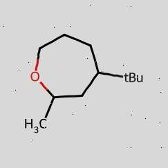 CC1CC(C(C)(C)C)CCCO1